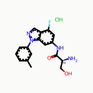 Cc1cccc(-n2ncc3c(F)cc(NC(=O)[C@@H](N)CO)cc32)c1.Cl